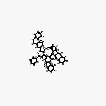 c1ccc(-c2nc(-c3ccc4c(ccc5ccccc54)c3)c3c(n2)-c2cc4oc5ccccc5c4cc2-n2c4cc(ccc4c4cc5ccccc5cc42)C3)cc1